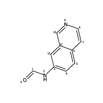 O=CNc1ccc2ccncc2c1